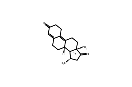 C[C@@H]1CC(=O)[C@@]2(C)CCC3=C4CCC(=O)C=C4CC[C@H]3[C@H]12